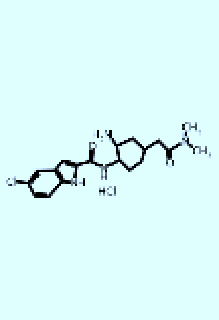 CN(C)C(=O)CC1CCC(NC(=O)c2cc3cc(Cl)ccc3[nH]2)C(N)C1.Cl